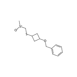 C[S+]([O-])CSC1CC(OCc2ccccc2)C1